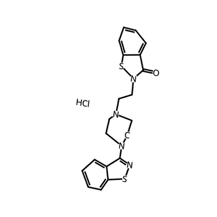 Cl.O=c1c2ccccc2sn1CCN1CCN(c2nsc3ccccc23)CC1